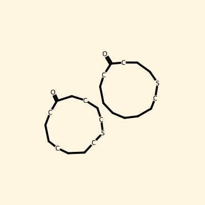 O=C1CCCCCCCCSCCC1.O=C1CCCCCCCSCCCC1